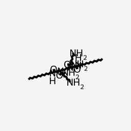 CCCCCCCCCCCCNC(=O)CCN(CCCCN(CCC(=O)NCCCCCCCCCCCC)C(=O)C(N)CCCCN)C(=O)C(N)CCCCN